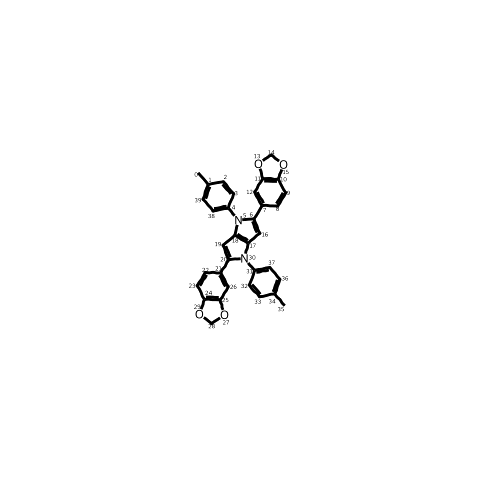 Cc1ccc(-n2c(-c3ccc4c(c3)OCO4)cc3c2cc(-c2ccc4c(c2)OCO4)n3-c2ccc(C)cc2)cc1